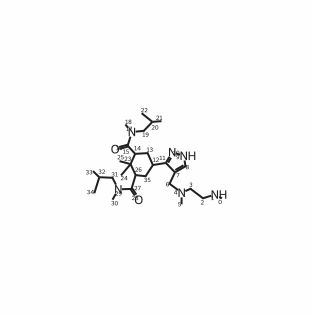 CNCCN(C)Cc1c[nH]nc1C1CC(C(=O)N(C)CC(C)C)C(C)(C)C(C(=O)N(C)CC(C)C)C1